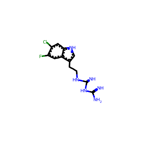 N=C(N)NC(=N)NCCc1c[nH]c2cc(Cl)c(F)cc12